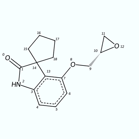 O=C1Nc2cccc(OC[C@@H]3CO3)c2C12CCCC2